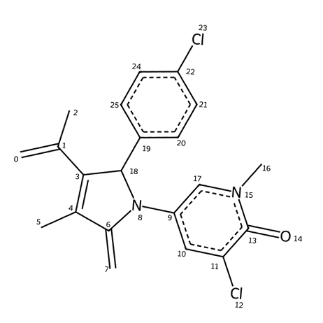 C=C(C)C1=C(C)C(=C)N(c2cc(Cl)c(=O)n(C)c2)C1c1ccc(Cl)cc1